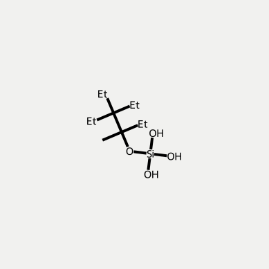 CCC(CC)(CC)C(C)(CC)O[Si](O)(O)O